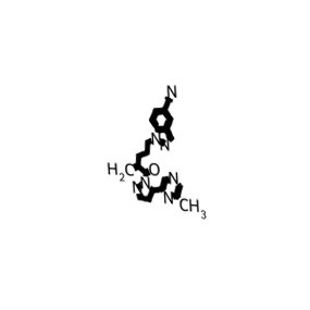 C=C(CCCn1ncc2cc(C#N)ccc21)C(=O)N1N=CCC1c1cncc(C)n1